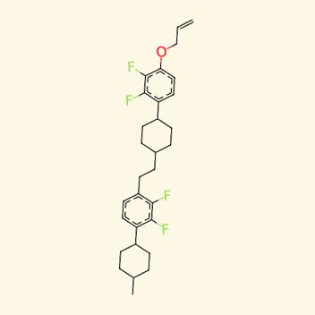 C=CCOc1ccc(C2CCC(CCc3ccc(C4CCC(C)CC4)c(F)c3F)CC2)c(F)c1F